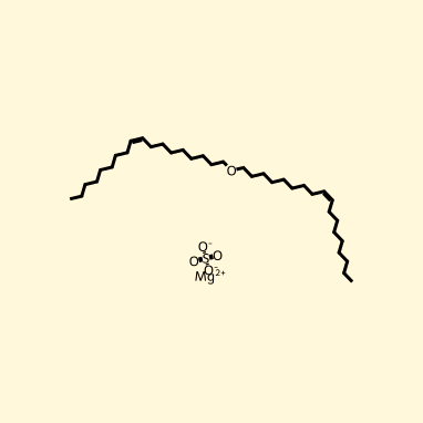 CCCCCCCC/C=C\CCCCCCCCOCCCCCCCC/C=C\CCCCCCCC.O=S(=O)([O-])[O-].[Mg+2]